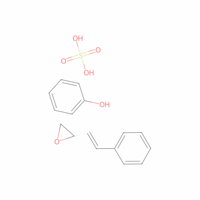 C1CO1.C=Cc1ccccc1.O=S(=O)(O)O.Oc1ccccc1